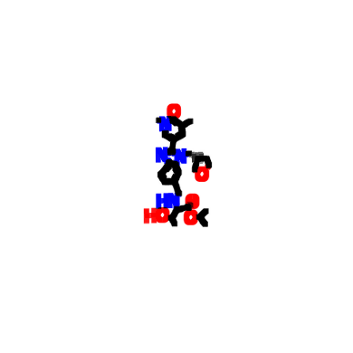 Cc1cc(-c2nc3ccc(CNC(C(=O)OC(C)C)C(C)O)cc3n2C[C@@H]2CCOC2)cn(C)c1=O